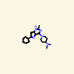 Cc1nc(N2CCC(N(C)C)CC2)c2nc(-c3ccccc3)cc-2[nH]1